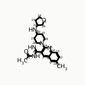 CC(=O)NC(=N)c1cc2cc(C)ccc2nc1N1CCC(NC2CCOC2)CC1